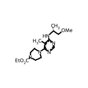 CCOC(=O)N1CCN(c2ncnc(N[C@H](C)COC)c2C)CC1